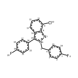 Fc1ccc(Cn2nc3c(Cl)cccc3c2-c2ccc(F)cc2)cc1